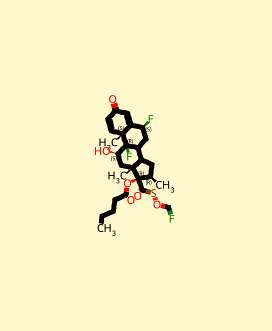 CCCCC(=O)O[C@]1(C(=O)SOCF)[C@H](C)CC2C3C[C@H](F)C4=CC(=O)C=C[C@]4(C)[C@@]3(F)[C@@H](O)C[C@@]21C